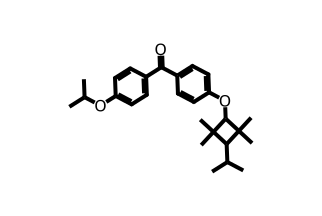 CC(C)Oc1ccc(C(=O)c2ccc(OC3C(C)(C)C(C(C)C)C3(C)C)cc2)cc1